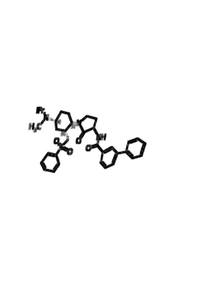 CC(C)N(C)[C@@H]1CC[C@H](N2CCC(NC(=O)c3cccc(-c4ccccc4)c3)C2=O)[C@H](CS(=O)(=O)c2ccccc2)C1